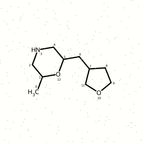 CC1CNCC(CC2CCOC2)O1